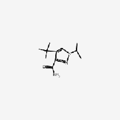 CC(C)n1cc(C(C)(C)C)c(C(N)=O)n1